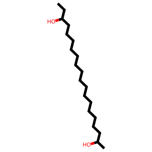 CCC(O)CCCCCCCCCCCCCCCC(C)O